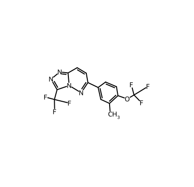 Cc1cc(-c2ccc3nnc(C(F)(F)F)n3n2)ccc1OC(F)(F)F